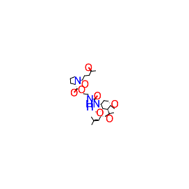 CO[C@H]1[C@H](C2(C)O[C@@H]2CC=C(C)C)[C@]2(CC[C@H]1NC(=O)NCCOC(=O)[C@@H]1CCCN1C(=O)CCC(C)=O)CO2